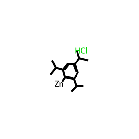 CC(C)c1cc(C(C)C)[c]([Zn])c(C(C)C)c1.Cl